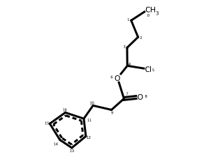 CCCCC(Cl)OC(=O)CCc1ccccc1